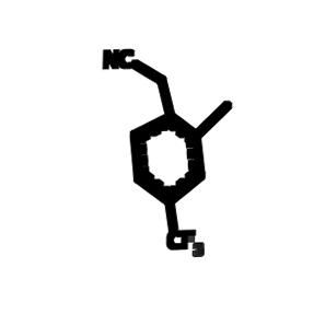 Cc1cc(C(F)(F)F)ccc1CC#N